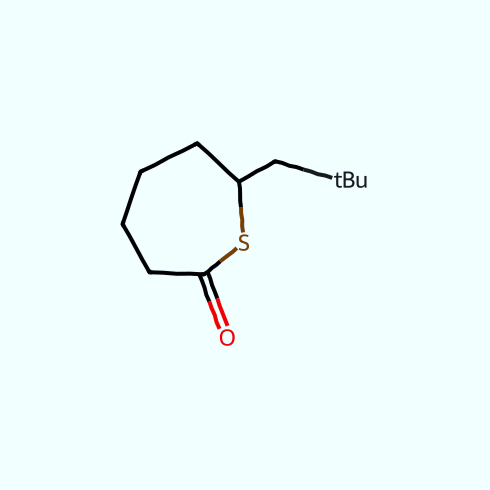 CC(C)(C)CC1CCCCC(=O)S1